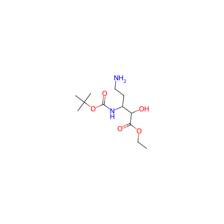 CCOC(=O)C(O)C(CCN)NC(=O)OC(C)(C)C